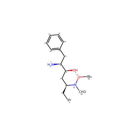 CC(C)C[C@@H](C[C@H](O)[C@@H](N)Cc1ccccc1)N(C=O)OC(C)(C)C